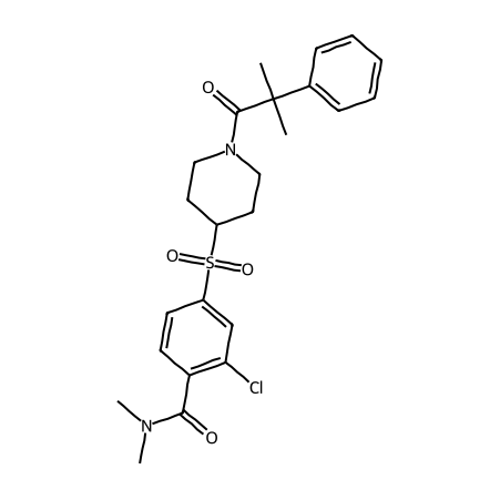 CN(C)C(=O)c1ccc(S(=O)(=O)C2CCN(C(=O)C(C)(C)c3ccccc3)CC2)cc1Cl